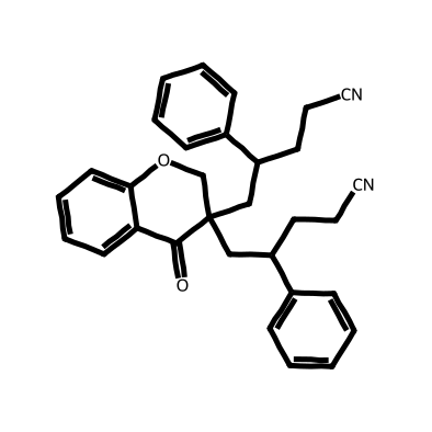 N#CCCC(CC1(CC(CCC#N)c2ccccc2)COc2ccccc2C1=O)c1ccccc1